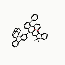 CC1(C)c2ccccc2-c2ccc(N(c3ccc4c(c3)C3(c5ccccc5-4)C4CC5CC(C4)CC3C5)c3cccc(-c4ccccc4)c3-c3ccccc3)cc21